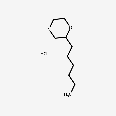 CCCCCCC1CNCCO1.Cl